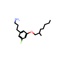 CCCCCC(C)COc1cc(F)cc(CCCN)c1